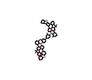 Cc1cc(-c2ccc(N(c3ccc(-c4ccc5oc6ccccc6c5c4)cc3)c3c(C)cccc3-c3ccc4c(c3)C(C)(C)c3ccccc3-4)c(C)c2)ccc1N(c1ccc(-c2ccc3oc4ccccc4c3c2)cc1)c1c(C)cccc1-c1ccc2c(c1)C(C)(C)c1ccccc1-2